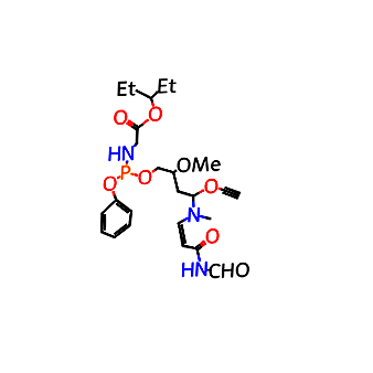 C#COC(CC(COP(NCC(=O)OC(CC)CC)Oc1ccccc1)OC)N(C)/C=C\C(=O)NC=O